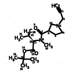 C#CCN1CCC(C(=O)N(C)[C@H](C(=O)OC(C)(C)C)C(C)C)C1